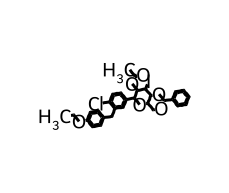 CCOc1ccc(Cc2cc(C3OC4COC(c5ccccc5)OC4C(I)C3OC(C)=O)ccc2Cl)cc1